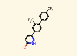 O=c1ccc(-c2ccc(-c3ccc(C(F)(F)F)cc3)c(C(F)(F)F)c2)n[nH]1